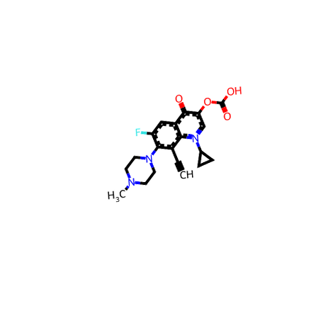 C#Cc1c(N2CCN(C)CC2)c(F)cc2c(=O)c(OC(=O)O)cn(C3CC3)c12